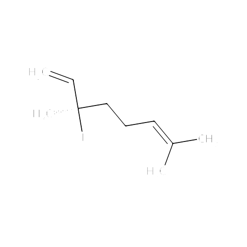 C=C[C@](C)(I)CCC=C(C)C